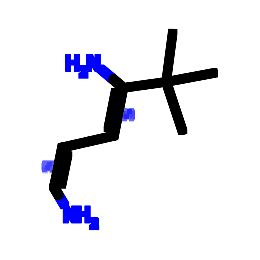 CC(C)(C)/C(N)=C/C=C\N